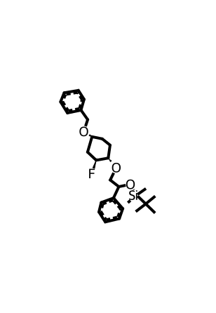 CC(C)(C)[Si](C)(C)OC(CO[C@H]1CC[C@@H](OCc2ccccc2)C[C@@H]1F)c1ccccc1